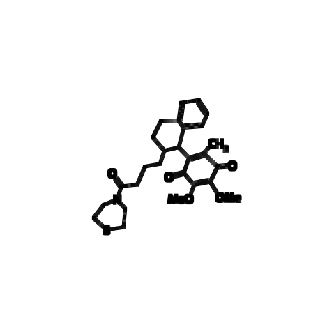 COC1=C(OC)C(=O)C(C2c3ccccc3CCC2CCCC(=O)N2CCSCC2)=C(C)C1=O